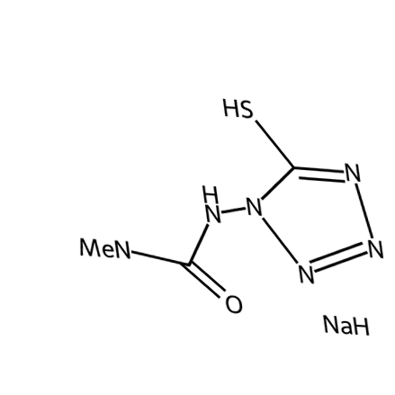 CNC(=O)Nn1nnnc1S.[NaH]